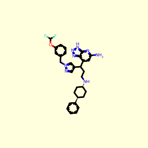 Nc1cc(C(CCN[C@H]2CC[C@H](c3ccccc3)CC2)c2cnn(Cc3cccc(OC(F)F)c3)c2)c2nn[nH]c2n1